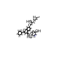 CCCNCC(O)COc1ccc2c(=O)cc(-c3ccccc3)oc2c1.O=C(O)/C=C\C(=O)O